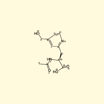 CC(=O)N[C@@H](Cc1cc(CO)ccn1)C(=O)O